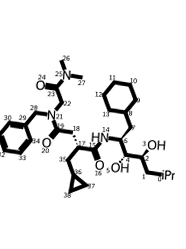 CC(C)C[C@H](O)[C@H](O)[C@H](CC1CCCCC1)NC(=O)[C@@H](CC(=O)N(CC(=O)N(C)C)Cc1ccccc1)CC1CC1